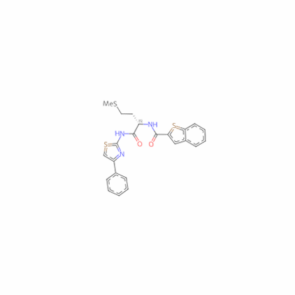 CSCC[C@H](NC(=O)c1cc2ccccc2s1)C(=O)Nc1nc(-c2ccccc2)cs1